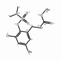 CCC(C)c1cc(Cl)c(OS(=O)(=O)N(C)C)c(CNC(=O)OC(C)(C)C)c1